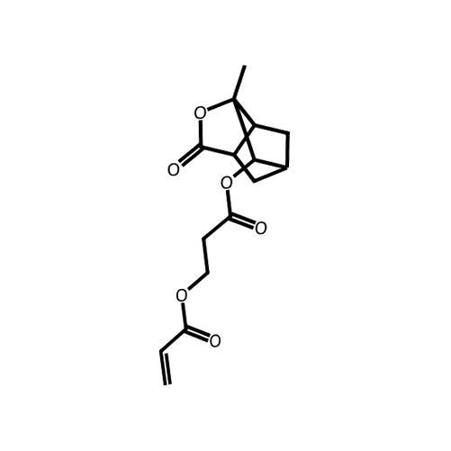 C=CC(=O)OCCC(=O)OC1C2CC3C(=O)OC1(C)C3C2